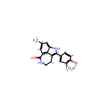 O=C(O)c1cc(-c2[nH]c3cc(C(F)(F)F)cc4c3c2CCNC4=O)ccc1Br